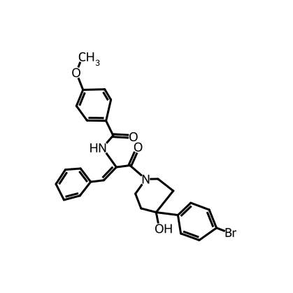 COc1ccc(C(=O)N/C(=C\c2ccccc2)C(=O)N2CCC(O)(c3ccc(Br)cc3)CC2)cc1